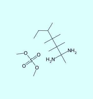 CCC(C)C(C)(C)C(C)(C)C(C)(N)N.COS(=O)(=O)OC